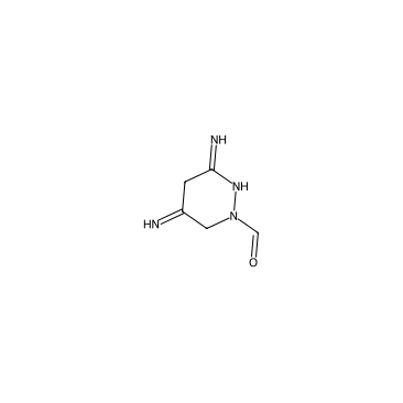 N=C1CC(=N)NN(C=O)C1